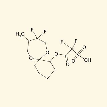 CC1COC2(CCCCC2OC(=O)C(F)(F)S(=O)(=O)O)OCC1(F)F